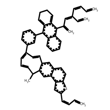 C=C/C=C\C(C=C)=C\C(=C)c1c2c(c(-c3cccc(C4=C/C=C/C(C)c5cc6c(ccc7sc(/C=C\C=C)cc76)cc5\C=C\4)c3)c3ccccc13)=CCCC=2